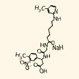 Cc1ccnc(NCCCCCC(=O)NCC(=O)NC(CC(=O)O)c2ccc(C)c([N+](=O)[O-])c2)c1.[NaH]